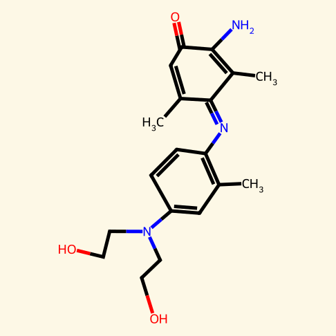 CC1=CC(=O)C(N)=C(C)C1=Nc1ccc(N(CCO)CCO)cc1C